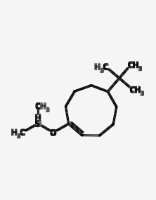 C[SiH](C)OC1=CCCCC(C(C)(C)C)CCC1